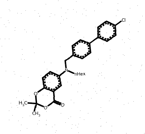 CCCCCCN(Cc1ccc(-c2ccc(Cl)cc2)cc1)c1ccc2c(c1)C(=O)OC(C)(C)O2